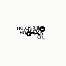 CC(Oc1ccccc1)C(CCC1=CC[C@H](O)[C@@H]1CC(=O)O)O[Si](C)(C)C(C)(C)C